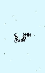 CO[C@@H](C)CNC(=O)c1ccc2nn(CC3CN(C(=O)c4ccc(Cl)cc4)C3)cc2c1C